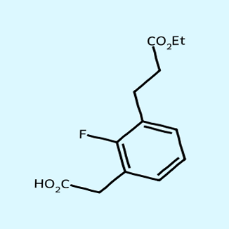 CCOC(=O)CCc1cccc(CC(=O)O)c1F